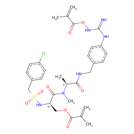 C=C(C)C(=O)OC[C@@H](NS(=O)(=O)Cc1ccc(Cl)cc1)C(=O)N(C)[C@@H](C)C(=O)NCc1ccc(NC(=N)NOC(=O)C(=C)C)cc1